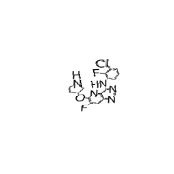 Fc1cc2ncnc(Nc3cccc(Cl)c3F)c2nc1O[C@H]1CCNC1